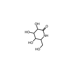 O=C1NC(CO)C(O)C(O)C1O